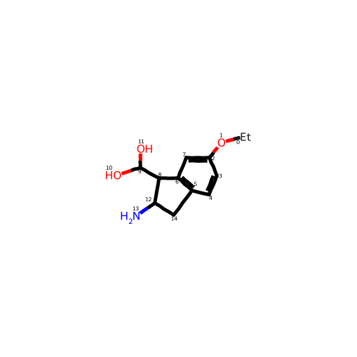 CCOc1ccc2c(c1)C(C(O)O)C(N)C2